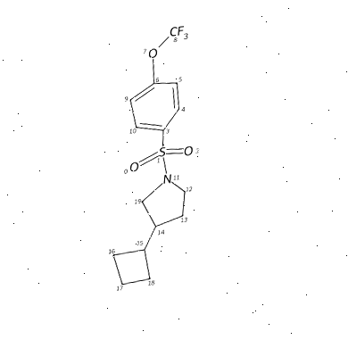 O=S(=O)(c1ccc(OC(F)(F)F)cc1)N1CCC(C2CCC2)C1